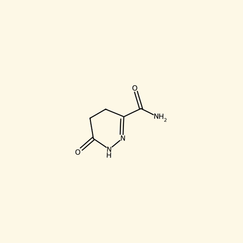 NC(=O)C1=NNC(=O)CC1